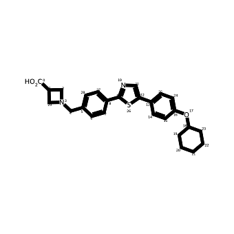 O=C(O)C1CN(Cc2ccc(-c3ncc(-c4ccc(OC5CCCCC5)cc4)s3)cc2)C1